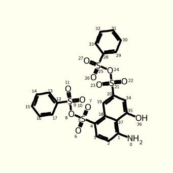 Nc1ccc(S(=O)(=O)OS(=O)(=O)c2ccccc2)c2cc(S(=O)(=O)OS(=O)(=O)c3ccccc3)cc(O)c12